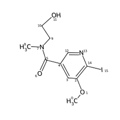 COc1cc(C(=O)N(C)CCO)cnc1I